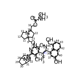 C=N/C(=C(/F)c1nc(OCC23CCCN2[C@@H](COC(=O)NC)CC3)nc(N2CC3CCC(C2)N3)c1C)c1cc(O)cc2cccc(CC)c12